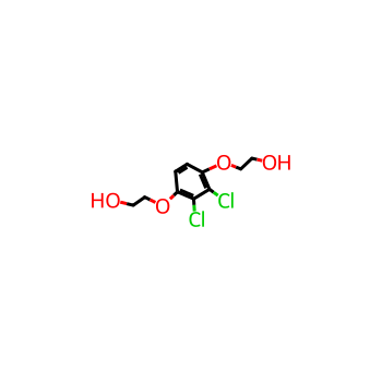 OCCOc1ccc(OCCO)c(Cl)c1Cl